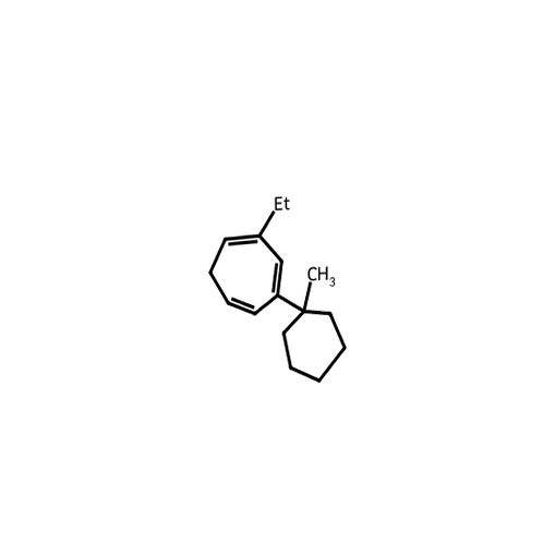 CCC1=CCC=CC(C2(C)CCCCC2)=C1